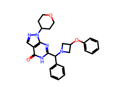 O=c1[nH]c(C(c2ccccc2)N2CC(Oc3ccccc3)C2)nc2c1cnn2C1CCOCC1